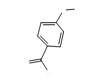 COc1ccc(C(=O)Br)cc1